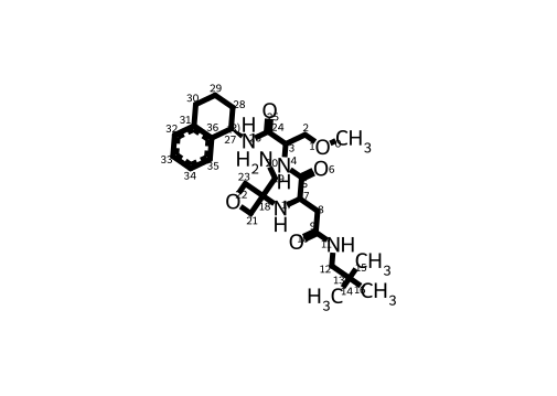 COCC(NC(=O)C(CC(=O)NCC(C)(C)C)NC1(CN)COC1)C(=O)N[C@@H]1CCCc2ccccc21